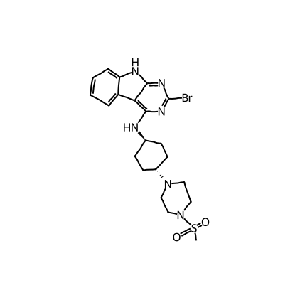 CS(=O)(=O)N1CCN([C@H]2CC[C@H](Nc3nc(Br)nc4[nH]c5ccccc5c34)CC2)CC1